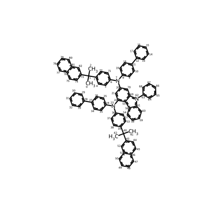 CC(C)(c1ccc(N(c2ccc(-c3ccccc3)cc2)c2cc(N(c3ccc(-c4ccccc4)cc3)c3ccc(C(C)(C)c4ccc5ccccc5c4)cc3)c3c4ccccc4n(-c4ccccc4)c3c2)cc1)c1ccc2ccccc2c1